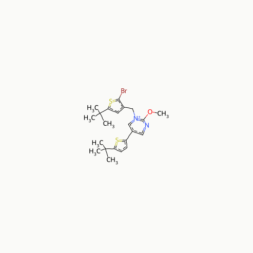 COc1ncc(-c2ccc(C(C)(C)C)s2)c[n+]1Cc1cc(C(C)(C)C)sc1Br